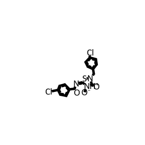 O=C(/N=C1/SN(Cc2ccc(Cl)cc2)C(=O)[NH+]1[O-])c1ccc(Cl)cc1